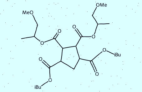 CCC(C)OC(=O)C1CC(C(=O)OC(C)CC)C(C(=O)OC(C)COC)C1C(=O)OC(C)COC